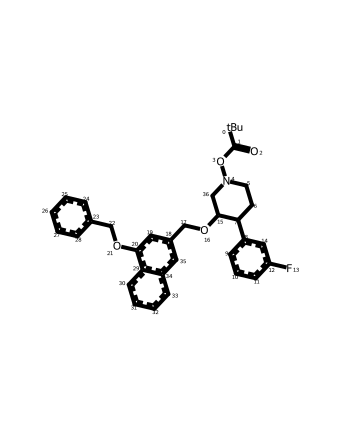 CC(C)(C)C(=O)ON1CCC(c2cccc(F)c2)C(OCc2cc(OCc3ccccc3)c3ccccc3c2)C1